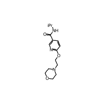 CC(C)NC(=O)c1ccc(OCCN2CCOCC2)nc1